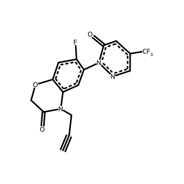 C#CCN1C(=O)COc2cc(F)c(-n3ncc(C(F)(F)F)cc3=O)cc21